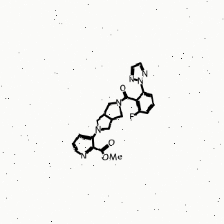 COC(=O)c1ncccc1N1CC2CN(C(=O)c3c(F)cccc3-n3nccn3)CC2C1